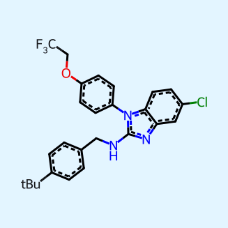 CC(C)(C)c1ccc(CNc2nc3cc(Cl)ccc3n2-c2ccc(OCC(F)(F)F)cc2)cc1